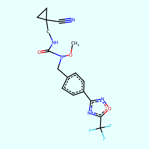 CON(Cc1ccc(-c2noc(C(F)(F)F)n2)cc1)C(=O)NCC1(C#N)CC1